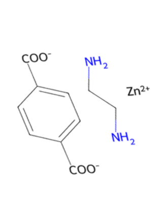 NCCN.O=C([O-])c1ccc(C(=O)[O-])cc1.[Zn+2]